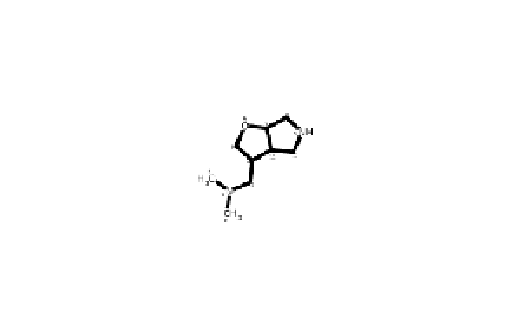 CN(C)CC1COC2CNCC12